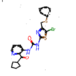 O=C(Nc1nc(CSc2ccccc2)c(Br)s1)Nc1cccnc1C(=O)C1CCCC1